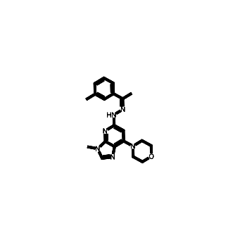 CC(=NNc1cc(N2CCOCC2)c2ncn(C)c2n1)c1cccc(C)c1